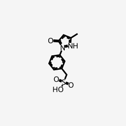 Cc1cc(=O)n(-c2cccc(CS(=O)(=O)O)c2)[nH]1